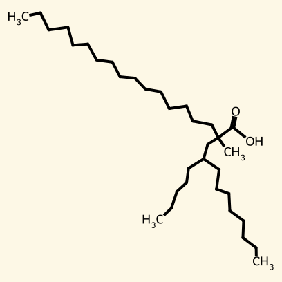 CCCCCCCCCCCCCCCCC(C)(CC(CCCCC)CCCCCCCC)C(=O)O